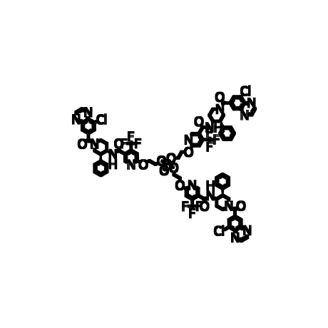 O=C(N[C@@H]1CCN(C(=O)c2cc(Cl)c3nccnc3c2)C[C@@H]1c1ccccc1)c1cnc(OCCOP(=O)(OCCOc2cc(C(F)(F)F)c(C(=O)N[C@@H]3CCN(C(=O)c4cc(Cl)c5nccnc5c4)C[C@@H]3c3ccccc3)cn2)OCCOc2cc(C(F)(F)F)c(C(=O)N[C@@H]3CCN(C(=O)c4cc(Cl)c5nccnc5c4)C[C@@H]3c3ccccc3)cn2)cc1C(F)(F)F